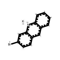 Brc1ccc2cc3ccccc3nc2c1.[K]